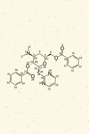 CN(C)[C@H]1C[C@@H](COC(=O)c2ccccc2)O[C@@H](Sc2ncccn2)[C@@H]1OC(=O)c1ccccc1